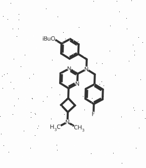 CC(C)COc1ccc(CN(Cc2ccc(F)cc2)c2nccc(C3CC(N(C)C)C3)n2)cc1